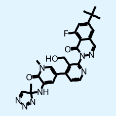 Cn1cc(-c2ccnc(-n3ncc4cc(C(C)(C)C)cc(F)c4c3=O)c2CO)cc(NC2(C)C=NN=N2)c1=O